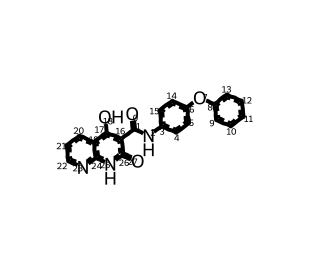 O=C(Nc1ccc(Oc2ccccc2)cc1)c1c(O)c2cccnc2[nH]c1=O